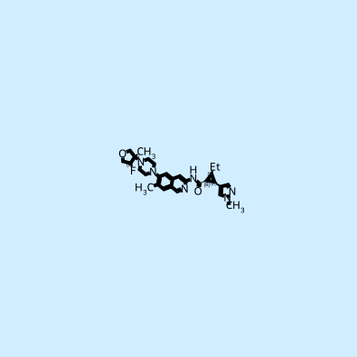 CC[C@@H]1[C@@H](C(=O)Nc2cc3cc(N4CCN([C@]5(C)COC[C@@H]5F)CC4)c(C)cc3cn2)[C@@H]1c1cnn(C)c1